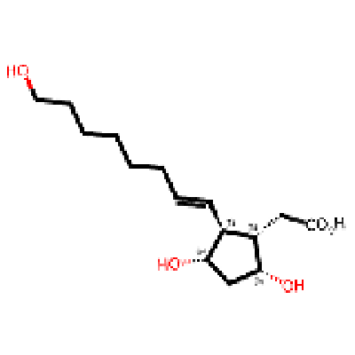 O=C(O)C[C@H]1[C@H](C=CCCCCCCO)[C@@H](O)C[C@H]1O